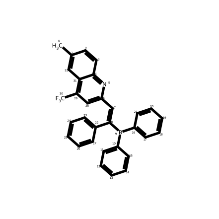 Cc1ccc2nc(C=C(B(c3ccccc3)c3ccccc3)c3ccccc3)cc(C(F)(F)F)c2c1